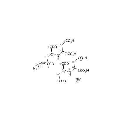 O=C([O-])C[C@H](NC(CC(=O)O)C(=O)O)C(=O)[O-].O=C([O-])C[C@H](NC(CC(=O)O)C(=O)O)C(=O)[O-].[Na+].[Na+].[Na+].[Na+]